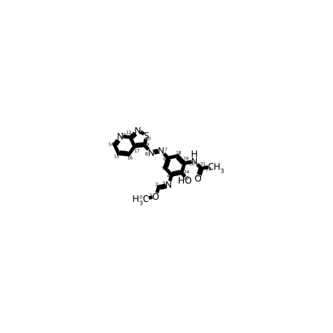 COC=Nc1cc(/N=N/c2snc3ncccc23)cc(NC(C)=O)c1O